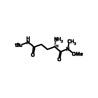 CON(C)C(=O)[C@@H](N)CCC(=O)NC(C)(C)C